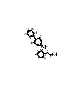 OCCc1ccccc1Nc1ccc(-c2ccccc2)cc1